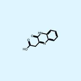 O=C(O)Cc1nc2ccccc2[nH]c1=O